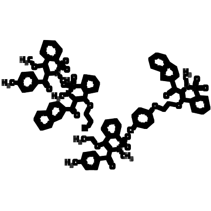 CCOC1=C(C(=O)c2ccc(C)cc2)N(C)S(=O)(=O)c2ccccc21.CN1C(C(=O)c2ccc3ccccc3c2)=C(OCCBr)c2ccccc2S1(=O)=O.CN1C(C(=O)c2ccc3ccccc3c2)=C(OCCOc2ccc(Cl)cc2)c2ccccc2S1(=O)=O.COC1=C(C(=O)c2ccc(C)cc2)N(C)S(=O)(=O)c2ccccc21